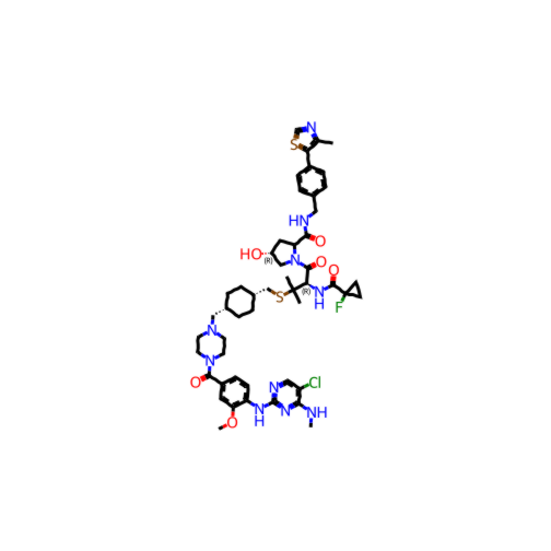 CNc1nc(Nc2ccc(C(=O)N3CCN(C[C@H]4CC[C@@H](CSC(C)(C)[C@H](NC(=O)C5(F)CC5)C(=O)N5C[C@H](O)CC5C(=O)NCc5ccc(-c6scnc6C)cc5)CC4)CC3)cc2OC)ncc1Cl